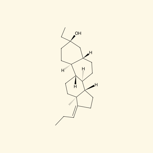 CC/C=C1/CC[C@H]2[C@@H]3CC[C@H]4C[C@@](O)(CC)CC[C@@H]4[C@H]3CC[C@]12C